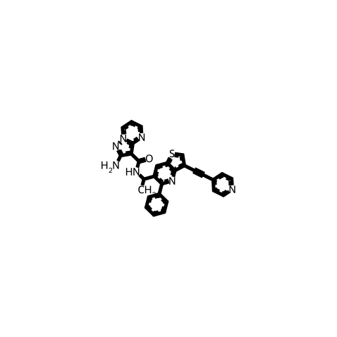 CC(NC(=O)c1c(N)nn2cccnc12)c1cc2scc(C#Cc3ccncc3)c2nc1-c1ccccc1